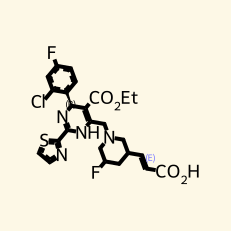 CCOC(=O)C1=C(CN2CC(F)CC(/C=C/C(=O)O)C2)NC(c2nccs2)=N[C@H]1c1ccc(F)cc1Cl